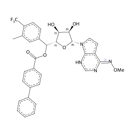 CO/N=c1\nc[nH]c2c1ccn2[C@@H]1O[C@H](C(OC(=O)c2ccc(-c3ccccc3)cc2)c2ccc(C(F)(F)F)c(C)c2)[C@@H](O)[C@H]1O